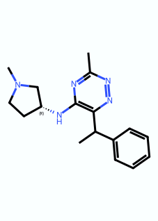 Cc1nnc(C(C)c2ccccc2)c(N[C@@H]2CCN(C)C2)n1